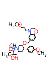 COCCCN1CCOc2ccc(CO[C@H]3CN[C@@H](CC(C)(O)COC)C[C@@H]3c3ccc(OC)cc3)cc21